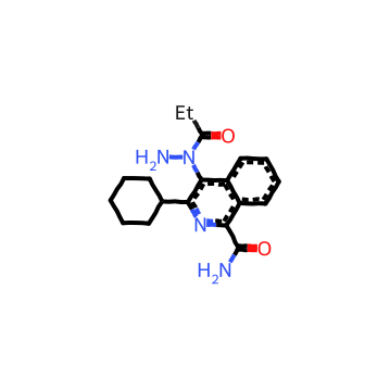 CCC(=O)N(N)c1c(C2CCCCC2)nc(C(N)=O)c2ccccc12